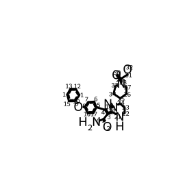 NC(=O)c1c(-c2ccc(Oc3ccccc3)cc2)nn2c1NCC[C@H]2C1CCN(C(=O)C=O)CC1